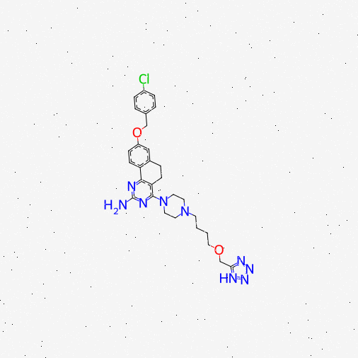 Nc1nc2c(c(N3CCN(CCCCOCc4nnn[nH]4)CC3)n1)CCc1cc(OCc3ccc(Cl)cc3)ccc1-2